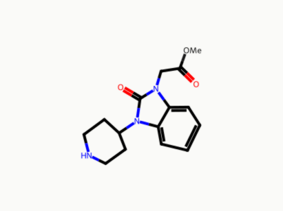 COC(=O)Cn1c(=O)n(C2CCNCC2)c2ccccc21